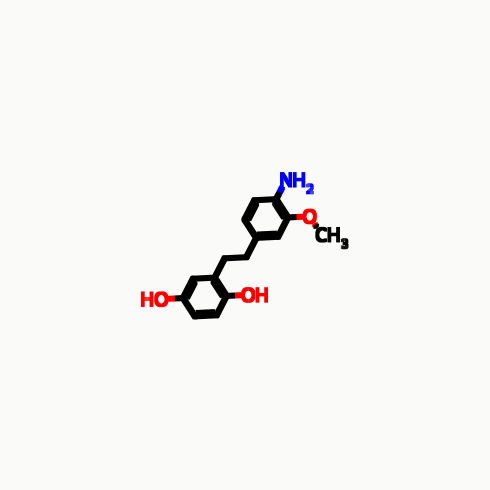 COc1cc(CCc2cc(O)ccc2O)ccc1N